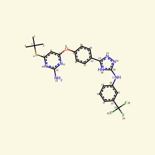 CC(C)(C)Sc1cc(Oc2ccc(-c3nnc(Nc4cccc(C(F)(F)F)c4)[nH]3)cc2)nc(N)n1